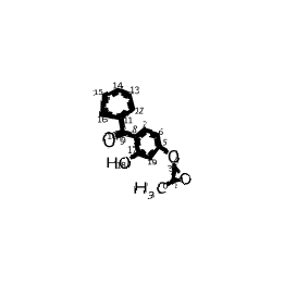 CC1OC1Oc1ccc(C(=O)c2ccccc2)c(O)c1